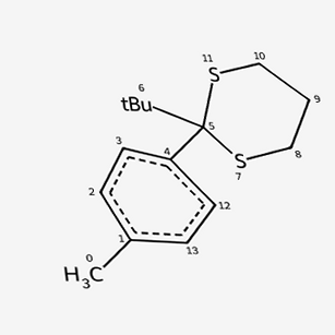 Cc1ccc(C2(C(C)(C)C)SCCCS2)cc1